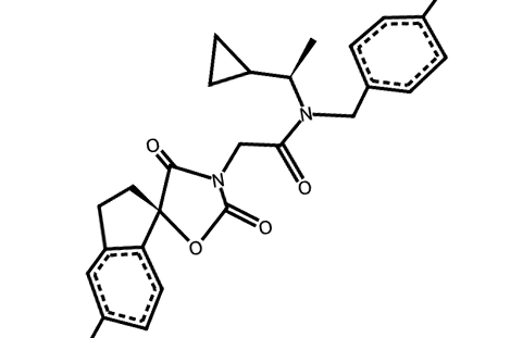 C[C@H](C1CC1)N(Cc1ccc(F)cc1)C(=O)CN1C(=O)O[C@@]2(CCc3cc(Br)ccc32)C1=O